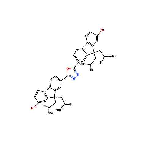 CCCCC(CC)CC1(CC(CC)CCCC)c2cc(Br)ccc2-c2ccc(-c3nnc(-c4ccc5c(c4)C(CC(CC)CCCC)(CC(CC)CCCC)c4cc(Br)ccc4-5)o3)cc21